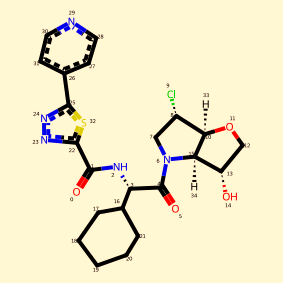 O=C(N[C@H](C(=O)N1C[C@H](Cl)[C@H]2OC[C@H](O)[C@H]21)C1CCCCC1)c1nnc(-c2ccncc2)s1